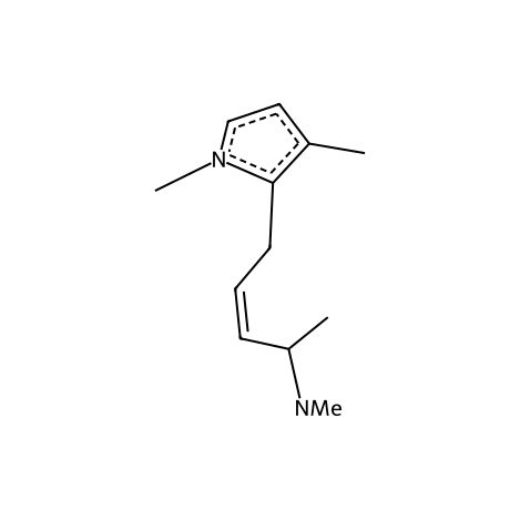 CNC(C)/C=C\Cc1c(C)ccn1C